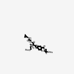 COCCS(=O)(=O)C(C(=O)NCC(=O)NC1CC1)c1nc2cc(C(=O)N3CC(C)(OC)C3)c(F)cc2s1